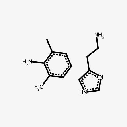 Cc1cccc(C(F)(F)F)c1N.NCCc1c[nH]cn1